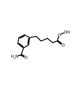 NC(=O)c1cccc(CCCCC(=O)OO)c1